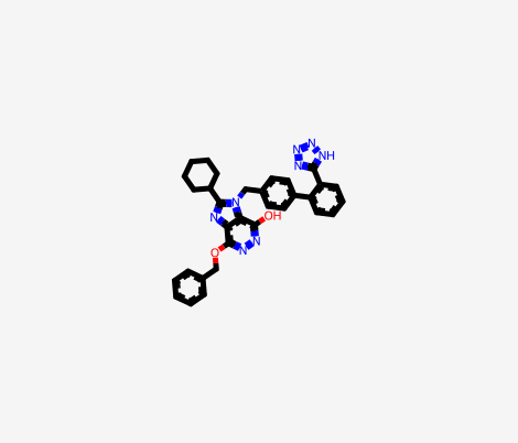 Oc1nnc(OCc2ccccc2)c2nc(C3CCCCC3)n(Cc3ccc(-c4ccccc4-c4nnn[nH]4)cc3)c12